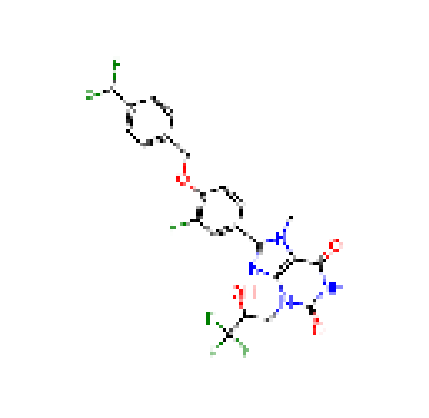 Cn1c(-c2ccc(OCc3ccc(C(F)F)cc3)c(F)c2)nc2c1c(=O)[nH]c(=O)n2CC(O)C(F)(F)F